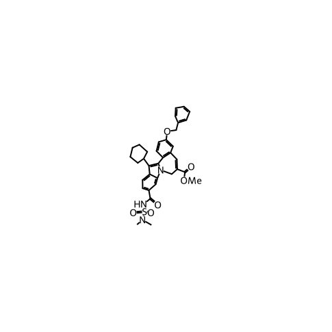 COC(=O)C1=Cc2cc(OCc3ccccc3)ccc2-c2c(C3CCCCC3)c3ccc(C(=O)NS(=O)(=O)N(C)C)cc3n2C1